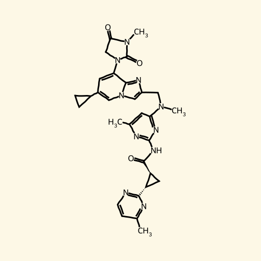 Cc1cc(N(C)Cc2cn3cc(C4CC4)cc(N4CC(=O)N(C)C4=O)c3n2)nc(NC(=O)[C@H]2C[C@@H]2c2nccc(C)n2)n1